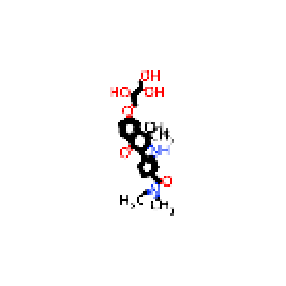 CCN(CC)C(=O)c1ccc2c3c([nH]c2c1)C(C)(C)c1cc(OC[C@@H](O)[C@H](O)CO)ccc1C3=O